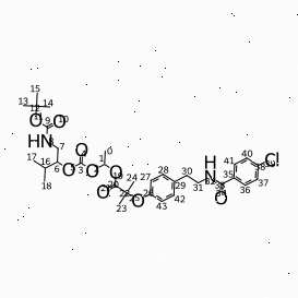 CC(OC(=O)OC(CNC(=O)OC(C)(C)C)C(C)C)OC(=O)C(C)(C)Oc1ccc(CCNC(=O)c2ccc(Cl)cc2)cc1